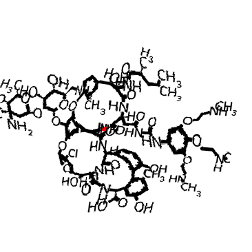 CNCCOc1cc(NC(=O)NC(=O)C[C@@H]2NC(=O)[C@H](NC(=O)[C@H](C)CC(C)C)[C@H](O)c3ccc(c(C)c3)Oc3cc4cc(c3O[C@@H]3O[C@H](CN)[C@@H](O)[C@H](O)[C@H]3O[C@H]3C[C@](C)(N)[C@H](O)[C@H](C)O3)Oc3ccc(cc3Cl)[C@@H](O)[C@@H]3NC(=O)[C@H](NC(=O)[C@@H]4NC2=O)c2ccc(O)c(c2)-c2c(C)cc(O)cc2[C@@H](C(=O)O)NC3=O)cc(OCCNC)c1OCCNC